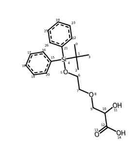 CC(C)(C)[Si](OCCOCC(O)C(=O)O)(c1ccccc1)c1ccccc1